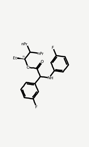 CCCC(CCC)[C@H](CC)OC(=O)C(Nc1cccc(F)c1)c1cccc(F)c1